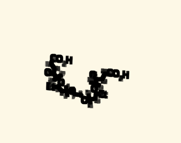 CCC(CC(C)(C)OCCOC(C)(C)CC(CC)OC(C)(C)C(=O)CCC(=O)O)OC(C)(C)C(=O)CCC(=O)O